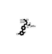 CCC(C=O)(CO)CC(Cc1ccc(-c2cc(Cl)ccc2F)cc1)NC(=O)OC(C)(C)C